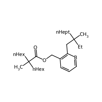 CCCCCCCC(C)(CC)Cc1bcccc1COC(=O)C(C)(CCCCCC)CCCCCC